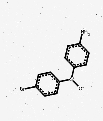 Nc1ccc([S+]([O-])c2ccc(Br)cc2)cc1